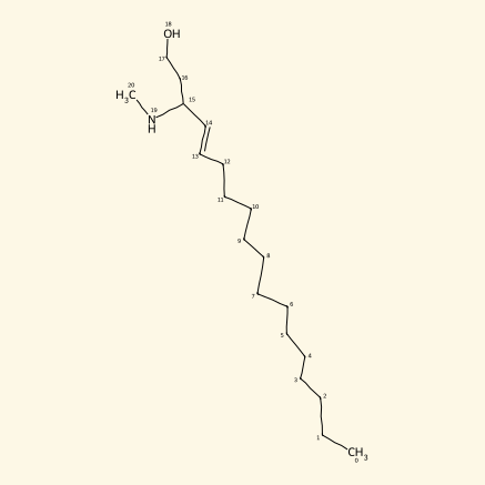 CCCCCCCCCCCCC/C=C/C(CCO)NC